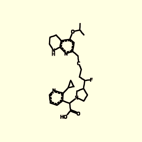 CC(C)Oc1cc(CCCCC(F)C2CCN(C(C(=O)O)c3cccnc3C3CC3)C2)nc2c1CCCN2